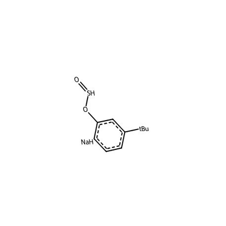 CC(C)(C)c1cccc(O[SH]=O)c1.[NaH]